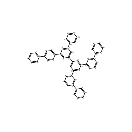 c1ccc(-c2ccc(-c3cc(-c4cc(-c5cccc(-c6ccccc6)c5)cc(-c5cccc(-c6ccccc6)c5)c4)nc(-c4ccncc4)n3)cc2)cc1